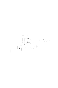 COCCOc1c([C@H]2[C@H](C(=O)Nc3cnn(C(C)(C)CO)c3)O[C@@](C)(C(F)(F)F)[C@H]2C)ccc(F)c1F